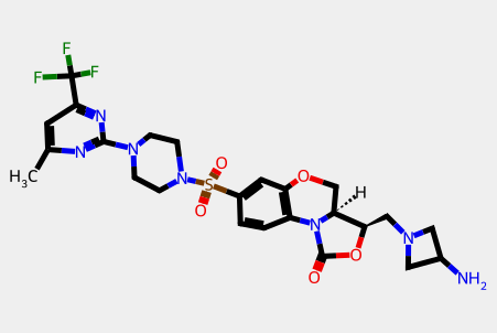 Cc1cc(C(F)(F)F)nc(N2CCN(S(=O)(=O)c3ccc4c(c3)OC[C@H]3[C@@H](CN5CC(N)C5)OC(=O)N43)CC2)n1